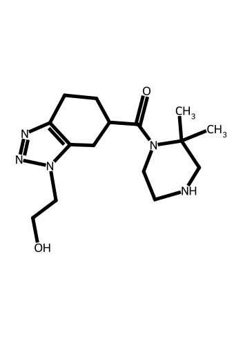 CC1(C)CNCCN1C(=O)C1CCc2nnn(CCO)c2C1